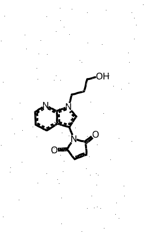 O=C1C=CC(=O)N1c1cn(CCCO)c2ncccc12